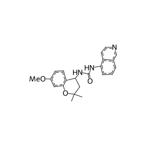 COc1ccc2c(c1)OC(C)(C)CC2NC(=O)Nc1cccc2cnccc12